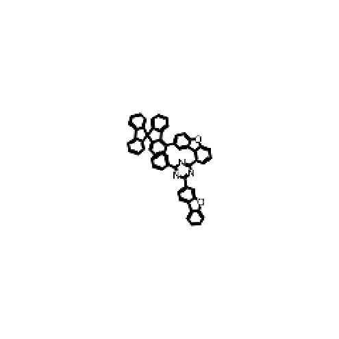 c1ccc(-c2nc(-c3ccc4c(c3)oc3ccccc34)nc(-c3cccc4oc5ccc(-c6cccc7c6-c6ccccc6C76c7ccccc7-c7ccccc76)cc5c34)n2)cc1